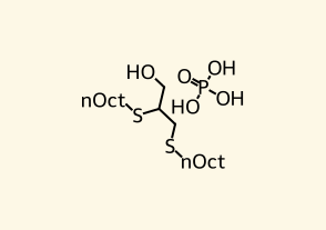 CCCCCCCCSCC(CO)SCCCCCCCC.O=P(O)(O)O